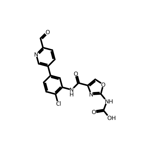 O=Cc1ccc(-c2ccc(Cl)c(NC(=O)c3coc(NC(=O)O)n3)c2)cn1